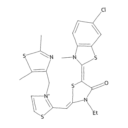 CCn1c(=O)/c(=C2\Sc3cc(Cl)ccc3N2C)s/c1=C\c1scc[n+]1Cc1nc(C)sc1C